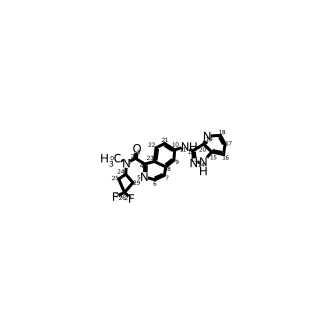 CN(C(=O)c1nccc2cc(Nc3n[nH]c4cccnc34)ccc12)C1CC(F)(F)C1